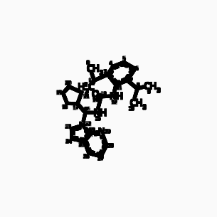 CC(C)c1cccc(C(C)C)c1NC(=O)NC(C1CCCC1)n1ccc2cccnc21